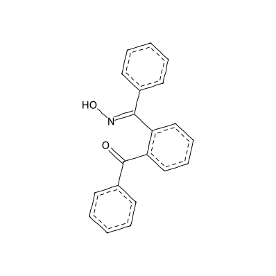 O=C(c1ccccc1)c1ccccc1C(=NO)c1ccccc1